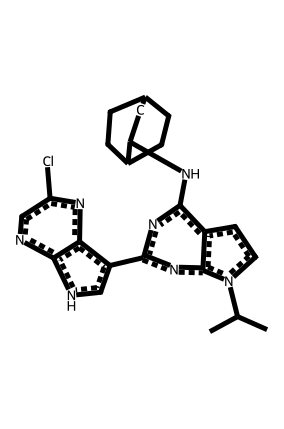 CC(C)n1ccc2c(NC3CC4CCC3CC4)nc(-c3c[nH]c4ncc(Cl)nc34)nc21